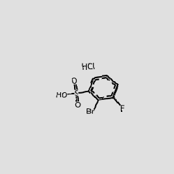 Cl.O=S(=O)(O)c1cccc(F)c1Br